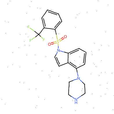 O=S(=O)(c1ccccc1C(F)(F)F)n1ccc2c(N3CCNCC3)cccc21